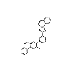 Cc1cc2c(ccc3ccccc32)cc1-c1cccc(-c2cc3ccc4ccccc4c3s2)c1